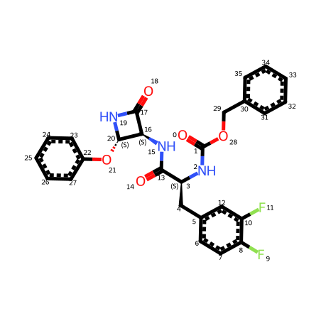 O=C(N[C@@H](Cc1ccc(F)c(F)c1)C(=O)N[C@@H]1C(=O)N[C@H]1Oc1ccccc1)OCc1ccccc1